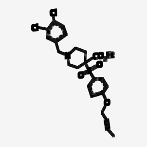 CC#CCOc1ccc(S(=O)(=O)C2(C(=O)OCC)CCN(Cc3ccc(Cl)c(Cl)c3)CC2)cc1